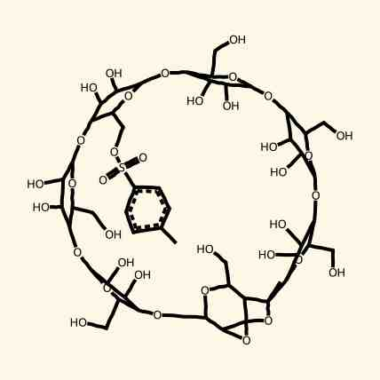 Cc1ccc(S(=O)(=O)OCC2OC3OC4C(CO)OC(OC5C(CO)OC(OC6C(CO)OC(C(O)C6O)C6(C)OC78OC7C(OC(CO)C68)OC6C(CO)OC(OC7C(CO)OC(OC2C(O)C3O)C(O)C7O)C(O)C6O)C(O)C5O)C(O)C4O)cc1